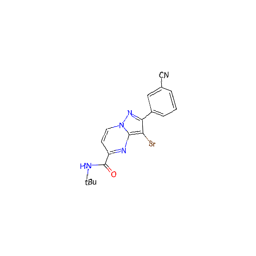 CC(C)(C)NC(=O)c1ccn2nc(-c3cccc(C#N)c3)c(Br)c2n1